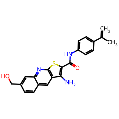 C=C(C)c1ccc(NC(=O)c2sc3nc4cc(CO)ccc4cc3c2N)cc1